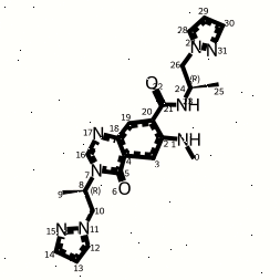 CNc1cc2c(=O)n([C@H](C)Cn3cccn3)cnc2cc1C(=O)N[C@H](C)Cn1cccn1